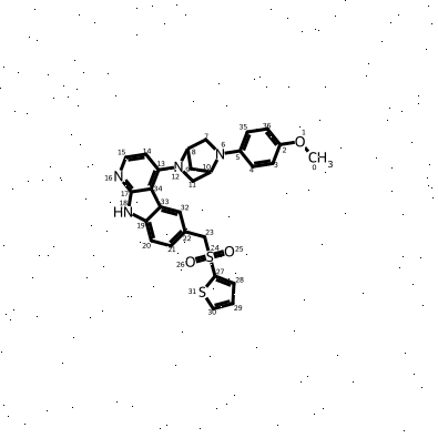 COc1ccc(N2CC3CC2CN3c2ccnc3[nH]c4ccc(CS(=O)(=O)c5cccs5)cc4c23)cc1